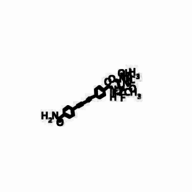 CC(=O)NC(C)(C(F)F)[C@H](NC(=O)c1ccc(C#CC#Cc2ccc(C(N)=O)cc2)cc1)C(=O)NO